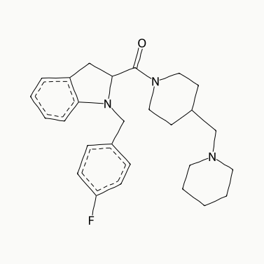 O=C(C1Cc2ccccc2N1Cc1ccc(F)cc1)N1CCC(CN2CCCCC2)CC1